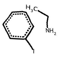 CCN.Ic1ccccc1